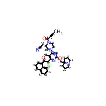 CC#CC(=O)N1CCN(c2nc(OCC34CCCN3CCC4)nc3c2COC(c2cccc4cccc(Cl)c24)C3)C[C@@H]1CC#N